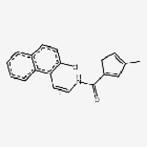 CC1=CCC(C(=O)N/C=C\c2c(Cl)ccc3ccccc23)=C1